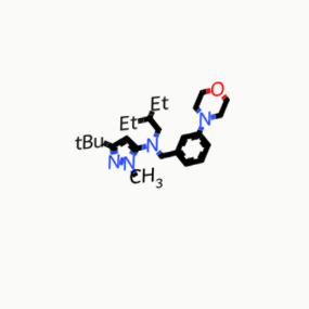 CCC(CC)CN(Cc1cccc(N2CCOCC2)c1)c1cc(C(C)(C)C)nn1C